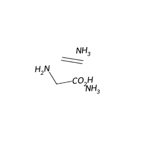 C=C.N.N.NCC(=O)O